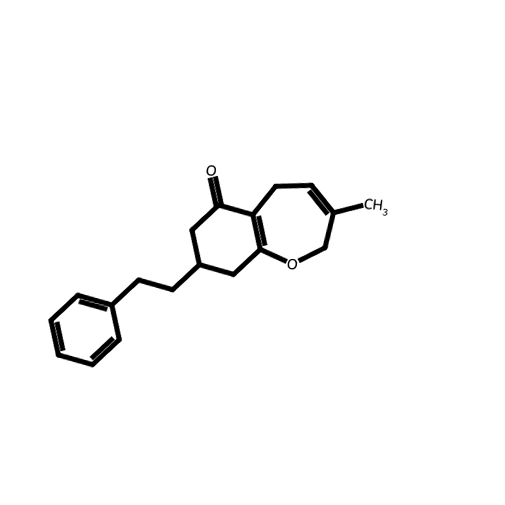 CC1=CCC2=C(CC(CCc3ccccc3)CC2=O)OC1